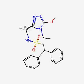 CCn1c(OC)nnc1[C@@H](C)NS(=O)(=O)CC(c1ccccc1)c1ccccc1